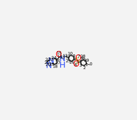 Cc1ccc(S(=O)(=O)c2ccc(CNC(=O)c3ccc4nccn4c3)cc2)c(C)c1